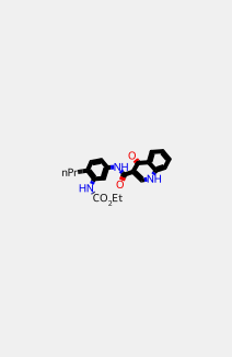 CCCc1ccc(NC(=O)c2c[nH]c3ccccc3c2=O)cc1NC(=O)OCC